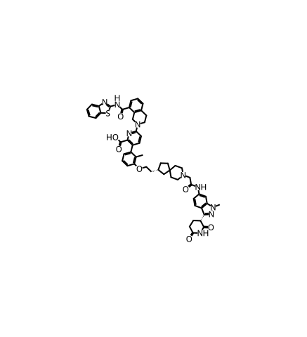 Cc1c(OCC[C@@H]2CCC3(CCN(CC(=O)Nc4ccc5c([C@H]6CCC(=O)NC6=O)nn(C)c5c4)CC3)C2)cccc1-c1ccc(N2CCc3cccc(C(=O)Nc4nc5ccccc5s4)c3C2)nc1C(=O)O